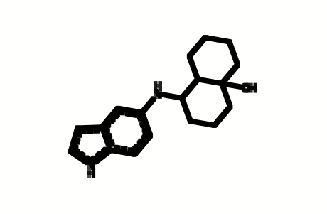 OC12CCCCC1C(Nc1ccc3[nH]ccc3c1)CCC2